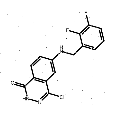 O=c1[nH]nc(Cl)c2cc(NCc3cccc(F)c3F)ccc12